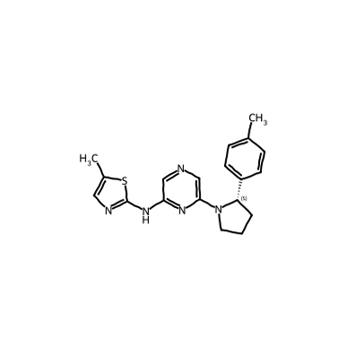 Cc1ccc([C@@H]2CCCN2c2cncc(Nc3ncc(C)s3)n2)cc1